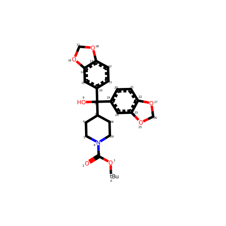 CC(C)(C)OC(=O)N1CCC(C(O)(c2ccc3c(c2)OCO3)c2ccc3c(c2)OCO3)CC1